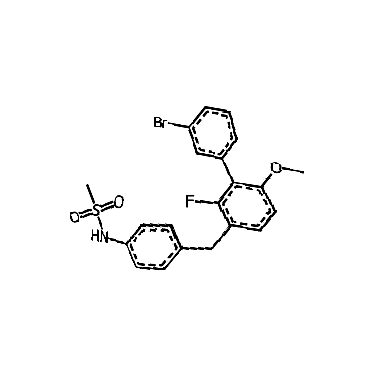 COc1ccc(Cc2ccc(NS(C)(=O)=O)cc2)c(F)c1-c1cccc(Br)c1